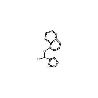 CCC(Oc1cccc2ccccc12)c1cccs1